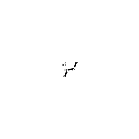 CPSC.Cl